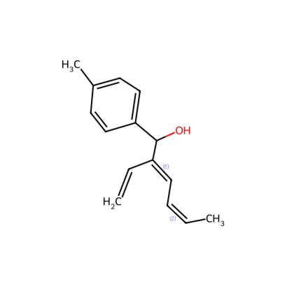 C=C/C(=C\C=C/C)C(O)c1ccc(C)cc1